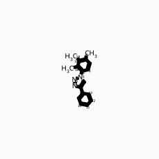 Cc1ccc(-n2cc(-c3ccccc3)nn2)c(C)c1C